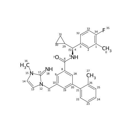 Cc1cc([C@@H](NC(=O)c2cc(Cn3ccn(C)c3=N)cc(-c3ccccc3C)c2)C2CC2)ccc1F